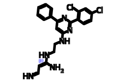 N=C/C=C(\N)NCCNc1cc(-c2ccccc2)nc(-c2ccc(Cl)cc2Cl)n1